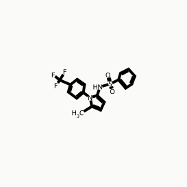 Cc1ccc(NS(=O)(=O)c2ccccc2)n1-c1ccc(C(F)(F)F)cc1